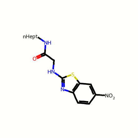 CCCCCCCNC(=O)CNc1nc2ccc([N+](=O)[O-])cc2s1